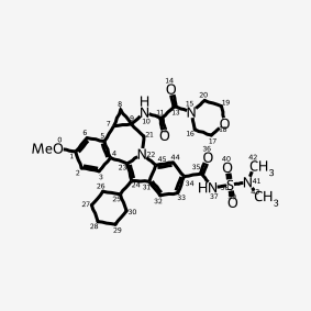 COc1ccc2c(c1)C1CC1(NC(=O)C(=O)N1CCOCC1)Cn1c-2c(C2CCCCC2)c2ccc(C(=O)NS(=O)(=O)N(C)C)cc21